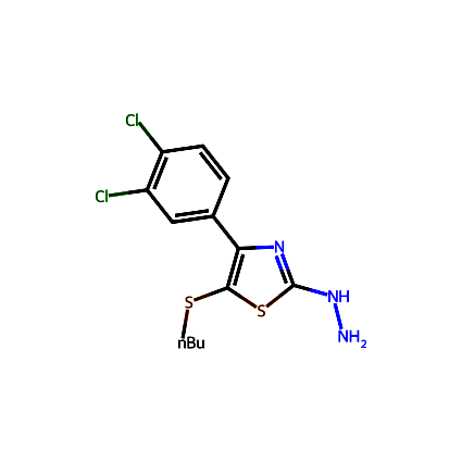 CCCCSc1sc(NN)nc1-c1ccc(Cl)c(Cl)c1